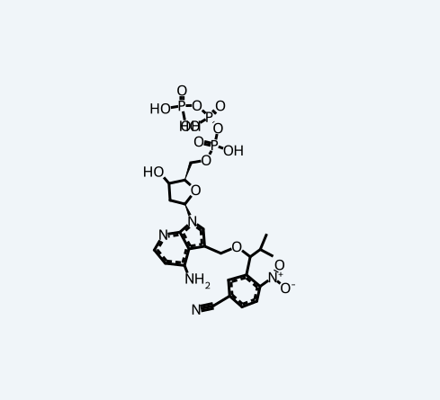 CC(C)C(OCc1cn([C@H]2CC(O)[C@@H](COP(=O)(O)OP(=O)(O)OP(=O)(O)O)O2)c2nccc(N)c12)c1cc(C#N)ccc1[N+](=O)[O-]